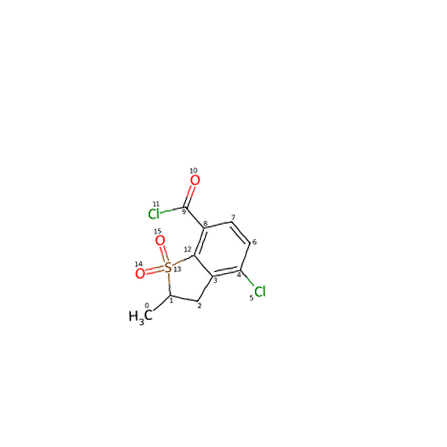 CC1Cc2c(Cl)ccc(C(=O)Cl)c2S1(=O)=O